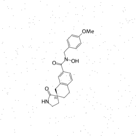 COc1ccc(CN(O)C(=O)c2ccc3c(c2)C[C@]2(CCNC2=O)CC3)cc1